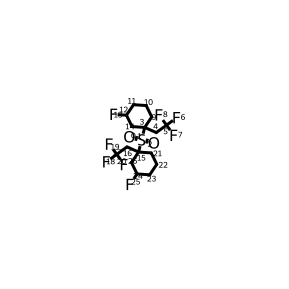 O=S(=O)(C1(CC(F)(F)F)CCCC(F)C1)C1(CC(F)(F)F)CCCC(F)C1